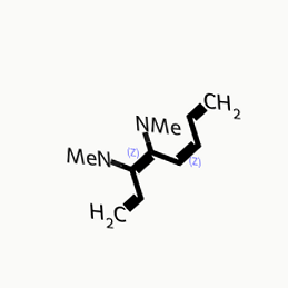 C=C/C=C\C(NC)=C(/C=C)NC